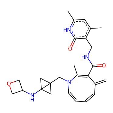 C=C1/C=C\C=C/N(CC23CC2(NC2COC2)C3)/C(C)=C\1C(=O)NCc1c(C)cc(C)[nH]c1=O